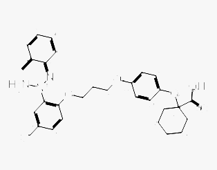 C=C1C=CC=C/C1=N/N(N)c1cc(Cl)ccc1OCCCOc1ccc(OC2(C(=O)O)CCCCC2)cc1